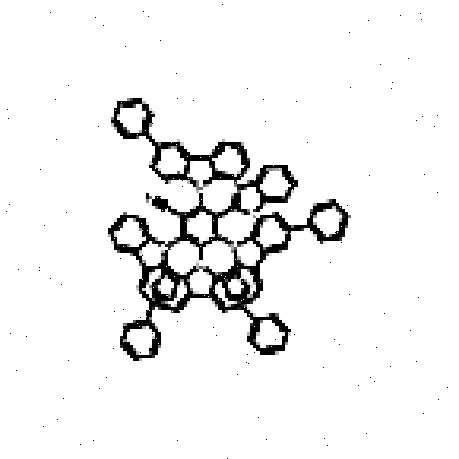 N#Cc1c(-n2c3ccccc3c3cc(-c4ccccc4)ccc32)c(-c2nc3ccccc3s2)c(-n2c3ccccc3c3cc(-c4ccccc4)ccc32)c(-n2c3ccccc3c3cc(-c4ccccc4)ccc32)c1-n1c2ccccc2c2cc(-c3ccccc3)ccc21